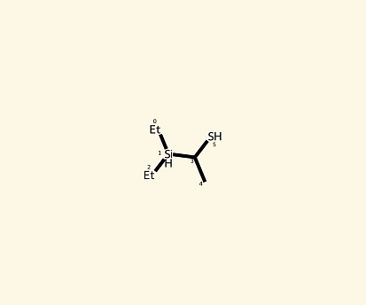 CC[SiH](CC)C(C)S